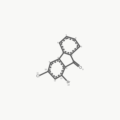 O=C1c2ccccc2-c2cc(Cl)cc(Br)c21